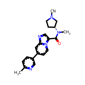 Cc1ccc(-c2ccn3c(C(=O)N(C)[C@@H]4CCN(C#N)C4)cnc3c2)cn1